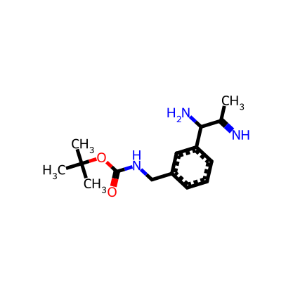 CC(=N)C(N)c1cccc(CNC(=O)OC(C)(C)C)c1